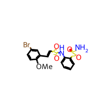 COc1ccc(Br)cc1C=CS(=O)(=O)Nc1ccccc1S(N)(=O)=O